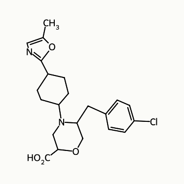 Cc1cnc(C2CCC(N3CC(C(=O)O)OCC3Cc3ccc(Cl)cc3)CC2)o1